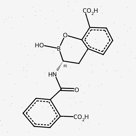 O=C(O)c1ccccc1C(=O)N[C@H]1Cc2cccc(C(=O)O)c2OB1O